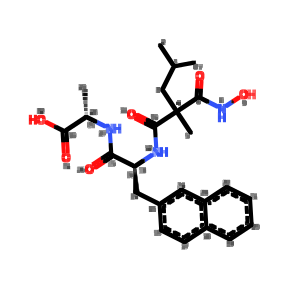 CC(C)CC(C)(C(=O)NO)C(=O)N[C@@H](Cc1ccc2ccccc2c1)C(=O)N[C@@H](C)C(=O)O